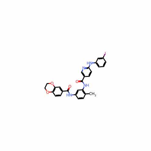 Cc1ccc(NC(=O)c2ccc3c(c2)OCCO3)cc1NC(=O)c1ccc(Nc2cccc(I)c2)nc1